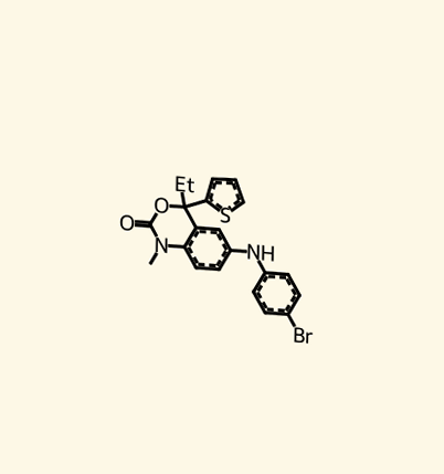 CCC1(c2cccs2)OC(=O)N(C)c2ccc(Nc3ccc(Br)cc3)cc21